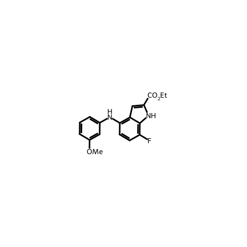 CCOC(=O)c1cc2c(Nc3cccc(OC)c3)ccc(F)c2[nH]1